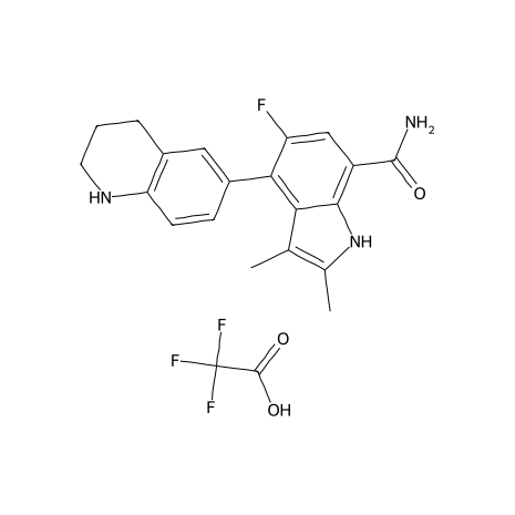 Cc1[nH]c2c(C(N)=O)cc(F)c(-c3ccc4c(c3)CCCN4)c2c1C.O=C(O)C(F)(F)F